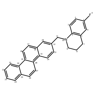 Fc1ccc2c(c1)CCCN2Cc1ccc2c(ccc3c4ccccc4ccc23)c1